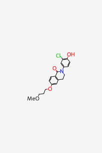 COCCCOc1ccc2c(c1)CCN(c1ccc(O)c(Cl)c1)C2=O